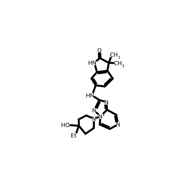 CCC1(O)CCN([N+]23C=CN=CC2=NC(Nc2ccc4c(c2)NC(=O)C4(C)C)=N3)CC1